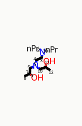 CCCN(CCC)CCN(CC(C)O)CC(C)O